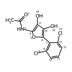 CC(=O)Nc1oc(-c2c(Cl)cccc2Cl)c(O)c1O